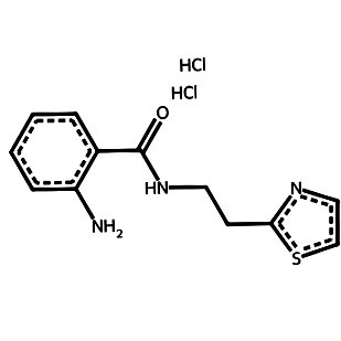 Cl.Cl.Nc1ccccc1C(=O)NCCc1nccs1